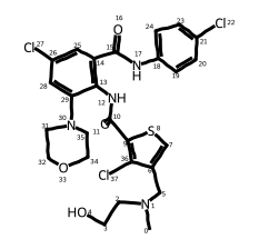 CN(CCO)Cc1csc(C(=O)Nc2c(C(=O)Nc3ccc(Cl)cc3)cc(Cl)cc2N2CCOCC2)c1Cl